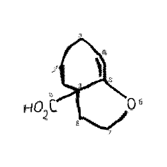 O=C(O)C12CCC=C1OCC2